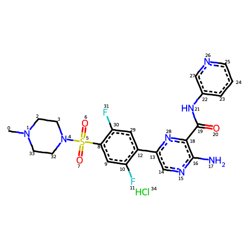 CN1CCN(S(=O)(=O)c2cc(F)c(-c3cnc(N)c(C(=O)Nc4cccnc4)n3)cc2F)CC1.Cl